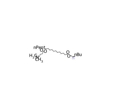 CCCC/C=C\COC(=O)CCCCCCCCCCC(CCCCC)OC(=O)CCCN(C)C